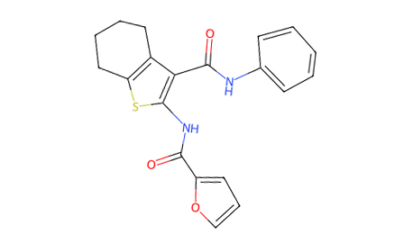 O=C(Nc1sc2c(c1C(=O)Nc1ccccc1)CCCC2)c1ccco1